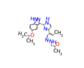 C/C=C(/C=N\NCC(C)=O)C1=NC(c2n[nH]c3ccc(OC(C)C)cc23)NC=C1